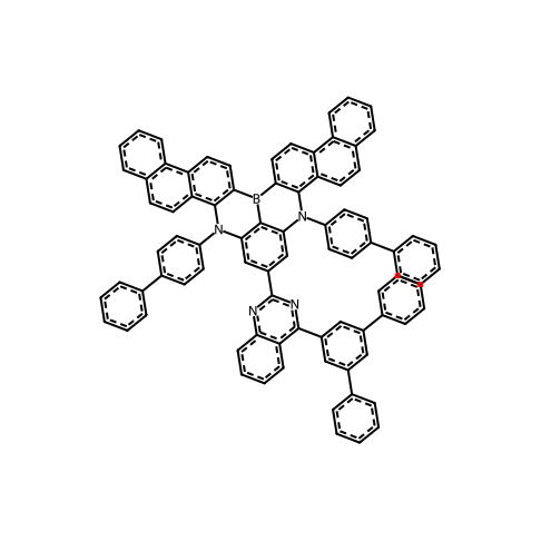 c1ccc(-c2ccc(N3c4cc(-c5nc(-c6cc(-c7ccccc7)cc(-c7ccccc7)c6)c6ccccc6n5)cc5c4B(c4ccc6c(ccc7ccccc76)c43)c3ccc4c(ccc6ccccc64)c3N5c3ccc(-c4ccccc4)cc3)cc2)cc1